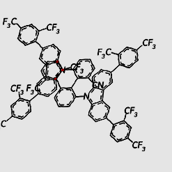 N#Cc1cccc(-n2c3ccc(-c4ccc(C(F)(F)F)cc4C(F)(F)F)cc3c3cc(-c4ccc(C(F)(F)F)cc4C(F)(F)F)ccc32)c1-c1c(-c2c(C(F)(F)F)cccc2C(F)(F)F)cccc1-n1c2ccc(-c3ccc(C(F)(F)F)cc3C(F)(F)F)cc2c2cc(-c3ccc(C(F)(F)F)cc3C(F)(F)F)ccc21